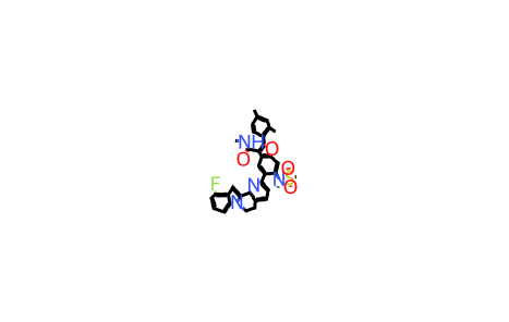 CNC(=O)c1c(-c2ccc(C)cc2C)oc2cc(N(C)S(C)(=O)=O)c(-c3ccc4c(n3)-c3cc5c(F)cccc5n3CC4)cc12